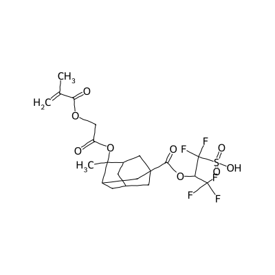 C=C(C)C(=O)OCC(=O)OC1(C)C2CC3CC1CC(C(=O)OC(C(F)(F)F)C(F)(F)S(=O)(=O)O)(C3)C2